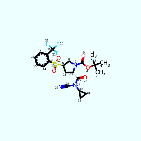 CC(C)(C)OC(=O)N1C[C@H](S(=O)(=O)c2ccccc2C(F)(F)F)C[C@H]1C(=O)N(C#N)C1CC1